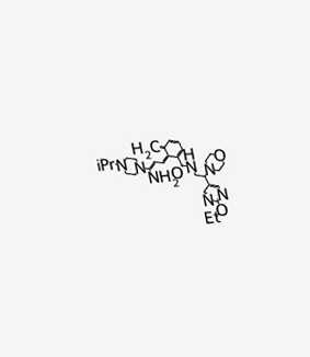 C=c1cccc(C(=O)NCC(c2cnc(OCC)nc2)N2CCOCC2)/c1=C/C=C(\N)N1CCN(C(C)C)CC1